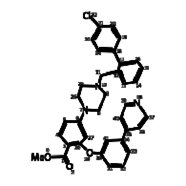 COC(=O)c1ccc(N2CCN(Cc3ccccc3-c3ccc(Cl)cc3)CC2)cc1Oc1cccc(-c2ccncc2)c1